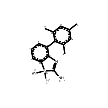 Cc1cc(C)c(-c2cccc3c2N=C(N)S3(C(C)C)C(C)C)c(C)c1